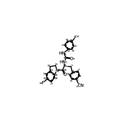 N#Cc1ccc(C[C@H](NC(=O)Nc2ccc(F)cc2)C(=O)N2CCc3cc(F)ccc32)cc1